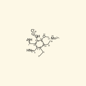 CCc1c(C=N)c(C=N)c(O)c(OC)c1CC.[Cl-].[Cl-].[Mn+2]